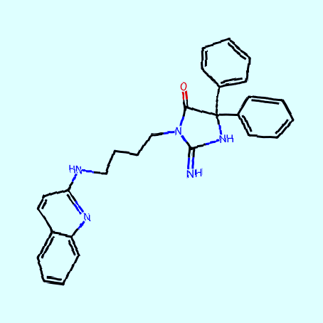 N=C1NC(c2ccccc2)(c2ccccc2)C(=O)N1CCCCNc1ccc2ccccc2n1